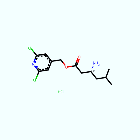 CC(C)C[C@@H](N)CC(=O)OCc1cc(Cl)nc(Cl)c1.Cl